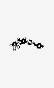 O=C1CCC(N2Cc3cc(N4CCN(CCc5ccc(F)cc5)CC4)c(F)cc3C2=O)C(=O)N1